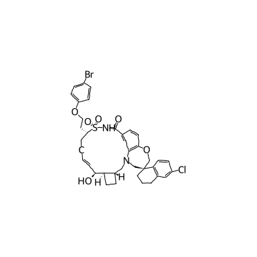 O=C1NS(=O)(=O)[C@@H](CCOc2ccc(Br)cc2)CC/C=C/[C@H](O)[C@@H]2CC[C@H]2CN2C[C@@]3(CCCc4cc(Cl)ccc43)COc3ccc1cc32